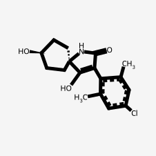 Cc1cc(Cl)cc(C)c1C1=C(O)[C@]2(CC[C@H](O)CC2)NC1=O